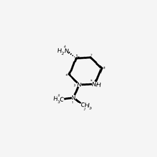 CN(C)N1C[C@H](N)CCN1